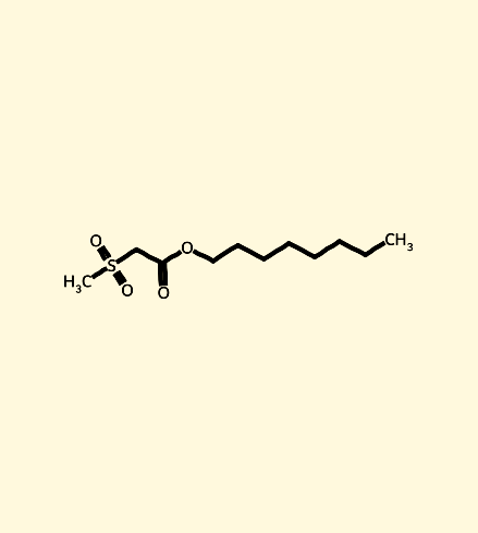 CCCCCCCCOC(=O)CS(C)(=O)=O